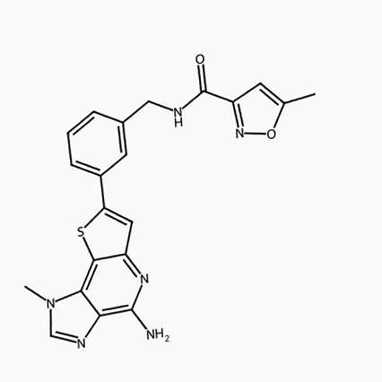 Cc1cc(C(=O)NCc2cccc(-c3cc4nc(N)c5ncn(C)c5c4s3)c2)no1